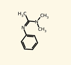 CC(=Nc1ccccc1)N(C)C